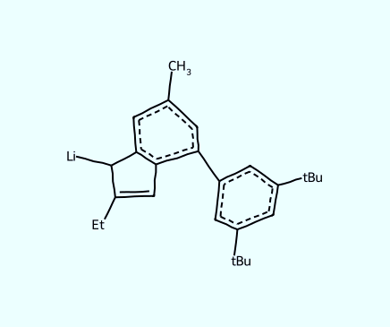 [Li][CH]1C(CC)=Cc2c(-c3cc(C(C)(C)C)cc(C(C)(C)C)c3)cc(C)cc21